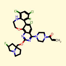 C=CC(=O)N1CCN(c2nc(OCC34CCCN3CC(F)C4)nc3c4c(c(Cl)cc23)-c2c(F)c(Cl)cc(Cl)c2NCCO4)CC1